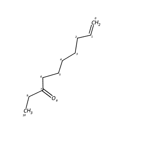 C=CCCCCCC(=O)CC